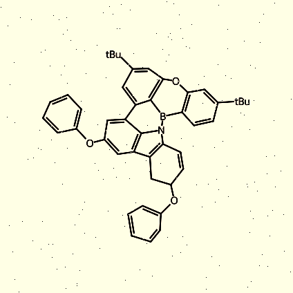 CC(C)(C)c1ccc2c(c1)Oc1cc(C(C)(C)C)cc3c1B2n1c2c(c4cc(Oc5ccccc5)cc-3c41)CC(Oc1ccccc1)C=C2